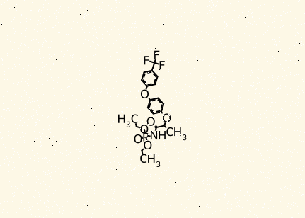 CCOP(=O)(NC(=O)C(C)Oc1ccc(Oc2ccc(C(F)(F)F)cc2)cc1)OCC